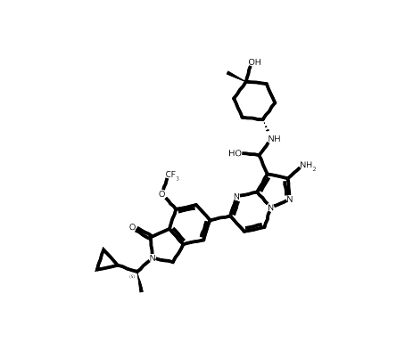 C[C@@H](C1CC1)N1Cc2cc(-c3ccn4nc(N)c(C(O)N[C@H]5CC[C@@](C)(O)CC5)c4n3)cc(OC(F)(F)F)c2C1=O